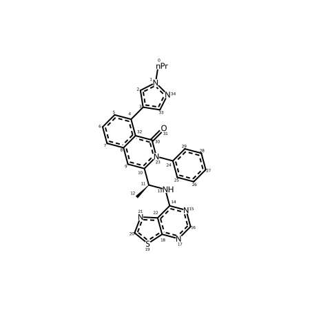 CCCn1cc(-c2cccc3cc([C@H](C)Nc4ncnc5scnc45)n(-c4ccccc4)c(=O)c23)cn1